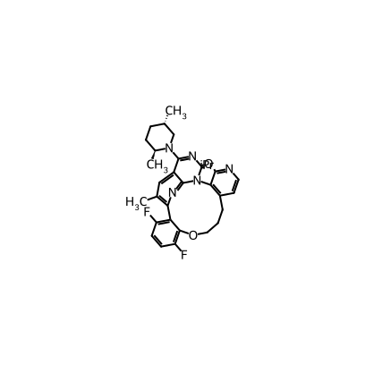 Cc1cc2c(N3C[C@@H](C)CC[C@@H]3C)nc(=O)n3c2nc1-c1c(F)ccc(F)c1OCCCc1ccnc(C(C)C)c1-3